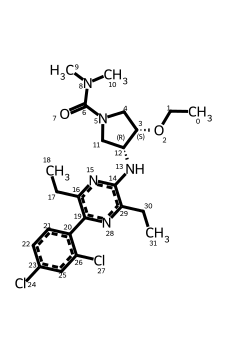 CCO[C@H]1CN(C(=O)N(C)C)C[C@H]1Nc1nc(CC)c(-c2ccc(Cl)cc2Cl)nc1CC